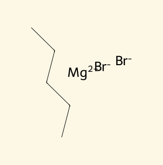 CCCCC.[Br-].[Br-].[Mg+2]